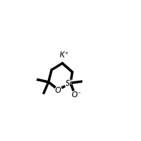 CC1(C)CCC[Si](C)([O-])O1.[K+]